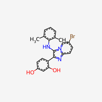 Cc1cccc(C)c1Nc1c(-c2ccc(O)cc2O)nc2ccc(Br)cn12